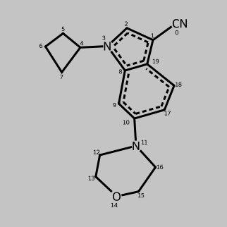 N#Cc1cn(C2CCC2)c2cc(N3CCOCC3)ccc12